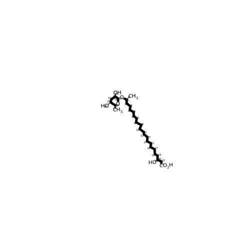 C[C@H](CCCCCCCCCCCCCCCCCC[C@@H](O)CC(=O)O)O[C@@H]1O[C@@H](C)[C@H](O)C[C@H]1O